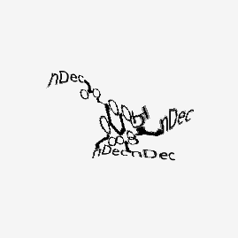 CCCCCCCCCCCC(=O)OC[C@H]1O[C@@H](O)[C@H](OC(=O)CCCCCCCCCCC)[C@@H](OC(=O)CCCCCCCCCCC)[C@H]1OC(=O)CCCCCCCCCCC